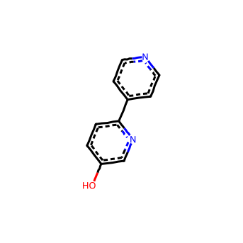 Oc1ccc(-c2ccncc2)nc1